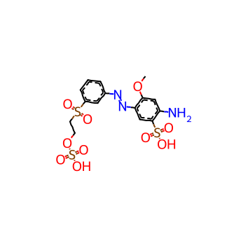 COc1cc(N)c(S(=O)(=O)O)cc1N=Nc1cccc(S(=O)(=O)CCOS(=O)(=O)O)c1